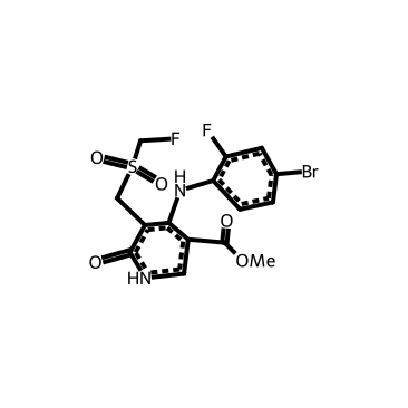 COC(=O)c1c[nH]c(=O)c(CS(=O)(=O)CF)c1Nc1ccc(Br)cc1F